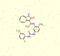 C/C(=N\c1cc(NC(=O)Nc2cc(C(F)(F)F)ccc2F)ccc1C)c1c2cccccc-2[nH]c1=O